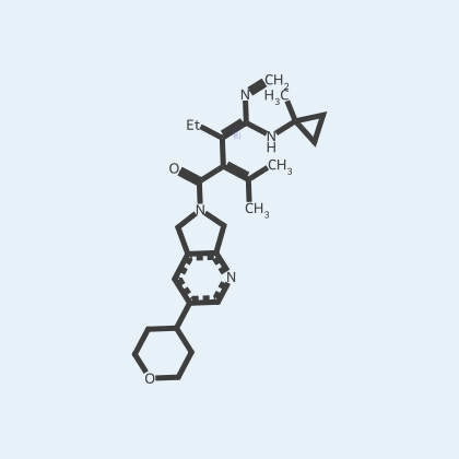 C=N/C(NC1(C)CC1)=C(\CC)C(C(=O)N1Cc2cc(C3CCOCC3)cnc2C1)=C(C)C